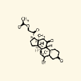 CC(=O)OCC(=O)[C@H]1CC[C@H]2[C@@H]3CC(Br)C4CC(=O)CC[C@]4(C)[C@H]3C(=O)C[C@]12C